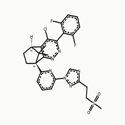 CC1(C)[C@H]2CC[C@@]1(c1cccc(-n3cnc(CCS(C)(=O)=O)n3)n1)c1nnc(-c3c(F)cccc3F)c(Cl)c12